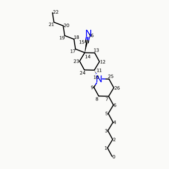 CCCCCCCC1CCN([C@H]2CC[C@@](C#N)(CCCCCC)CC2)CC1